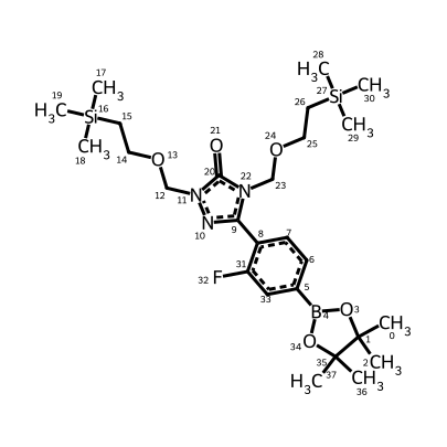 CC1(C)OB(c2ccc(-c3nn(COCC[Si](C)(C)C)c(=O)n3COCC[Si](C)(C)C)c(F)c2)OC1(C)C